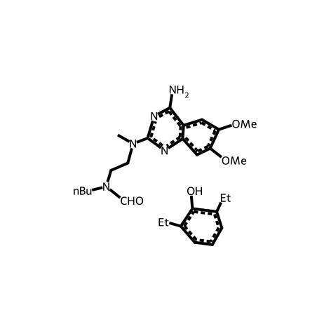 CCCCN(C=O)CCN(C)c1nc(N)c2cc(OC)c(OC)cc2n1.CCc1cccc(CC)c1O